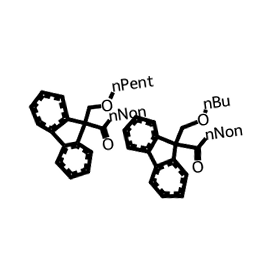 CCCCCCCCCC(=O)C1(COCCCC)c2ccccc2-c2ccccc21.CCCCCCCCCC(=O)C1(COCCCCC)c2ccccc2-c2ccccc21